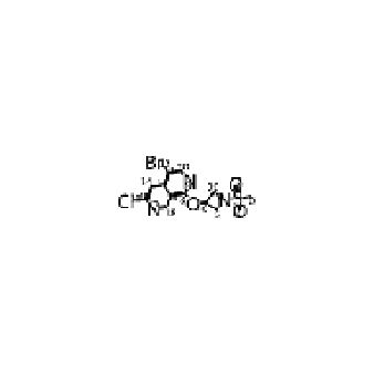 CS(=O)(=O)N1CC(Oc2ncc(Br)c3cc(Cl)ncc23)C1